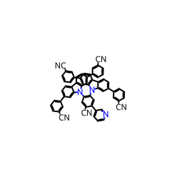 N#Cc1cccc(-c2ccc3c4ccc(-c5cccc(C#N)c5)cc4n(-c4cc(C#N)c(-c5cccnc5)cc4-n4c5cc(-c6cccc(C#N)c6)ccc5c5ccc(-c6cccc(C#N)c6)cc54)c3c2)c1